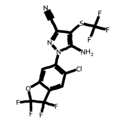 N#Cc1nn(-c2cc3c(cc2Cl)C(F)(F)C(F)(F)O3)c(N)c1SC(F)(F)F